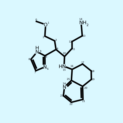 COCCC(c1ncc[nH]1)C(CCCN)NC1CCCc2cccnc21